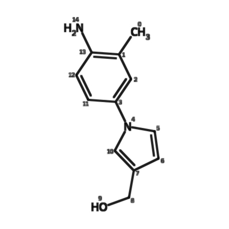 Cc1cc(-n2ccc(CO)c2)ccc1N